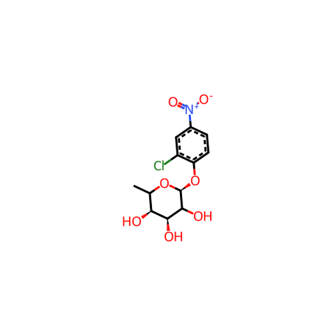 CC1O[C@@H](Oc2ccc([N+](=O)[O-])cc2Cl)C(O)[C@@H](O)[C@H]1O